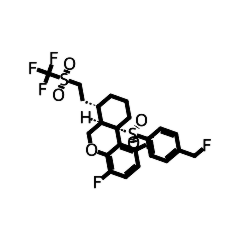 O=S(=O)(CC[C@@H]1CCC[C@@]2(S(=O)(=O)c3ccc(CF)cc3)c3c(F)ccc(F)c3OC[C@@H]12)C(F)(F)F